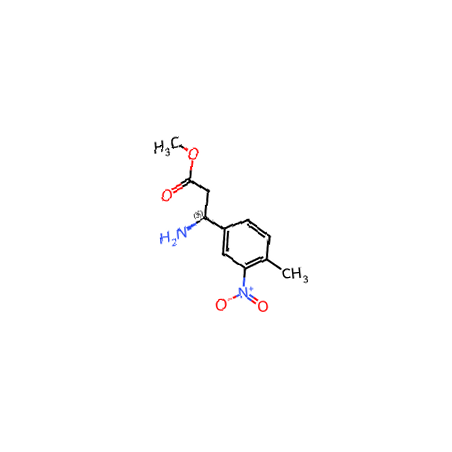 COC(=O)C[C@H](N)c1ccc(C)c([N+](=O)[O-])c1